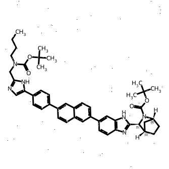 CCCCN(Cc1ncc(-c2ccc(-c3ccc4cc(-c5ccc6nc([C@@H]7[C@H]8CC[C@H](C8)N7C(=O)OC(C)(C)C)[nH]c6c5)ccc4c3)cc2)[nH]1)C(=O)OC(C)(C)C